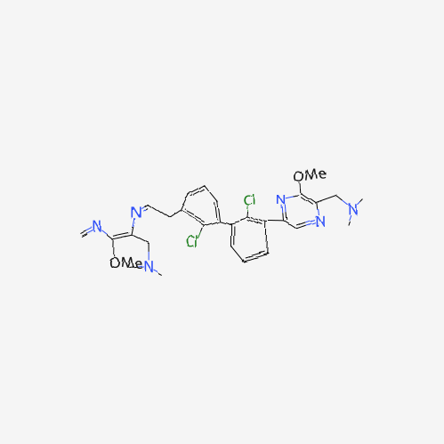 C=N/C(OC)=C(CN(C)C)\N=C/Cc1cccc(-c2cccc(-c3cnc(CN(C)C)c(OC)n3)c2Cl)c1Cl